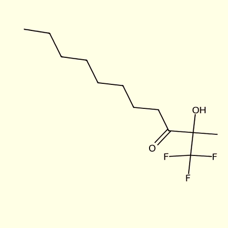 CCCCCCCCC(=O)C(C)(O)C(F)(F)F